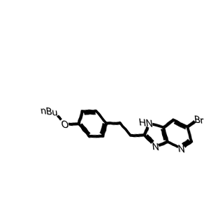 CCCCOc1ccc(CCc2nc3ncc(Br)cc3[nH]2)cc1